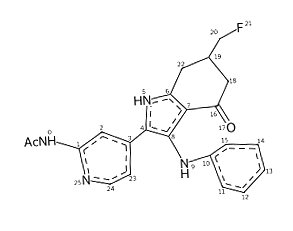 CC(=O)Nc1cc(-c2[nH]c3c(c2Nc2ccccc2)C(=O)CC(CF)C3)ccn1